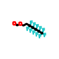 O=COCCC(F)(F)C(F)(F)C(F)(F)C(F)(F)C(F)(F)F